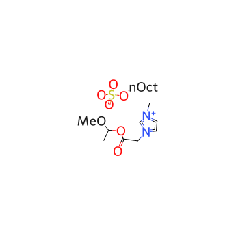 CCCCCCCCOS(=O)(=O)[O-].COC(C)OC(=O)Cn1cc[n+](C)c1